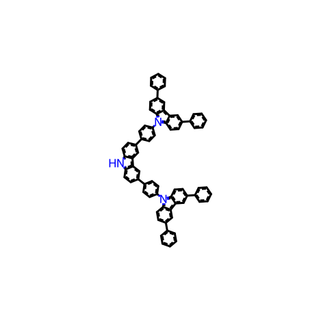 c1ccc(-c2ccc3c(c2)c2cc(-c4ccccc4)ccc2n3-c2ccc(-c3ccc4[nH]c5ccc(-c6ccc(-n7c8ccc(-c9ccccc9)cc8c8cc(-c9ccccc9)ccc87)cc6)cc5c4c3)cc2)cc1